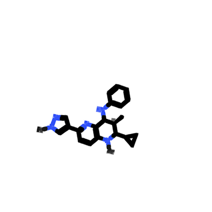 CCn1cc(-c2ccc3c(n2)C(Nc2ccccc2)[C@@H](C)C(C2CC2)N3C(C)=O)cn1